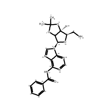 CC1(C)OC2[C@@H](O1)[C@@H](CN)O[C@H]2n1cnc2c(NC(=O)c3ccccc3)ncnc21